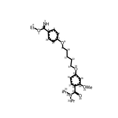 CCOC(=N)c1ccc(OCCCCCOc2ccc(C(=O)N(C(C)C)C(C)C)c(OC)c2)cc1